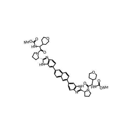 COC(=O)N[C@H](C(=O)N1CCC[C@H]1c1nc2ccc(-c3ccc4cc(-c5ccc6nc([C@@H]7CCCN7C(=O)[C@@H](NC(=O)OC)C7CCOCC7)[nH]c6c5)ccc4c3)cc2[nH]1)C1CCOCC1